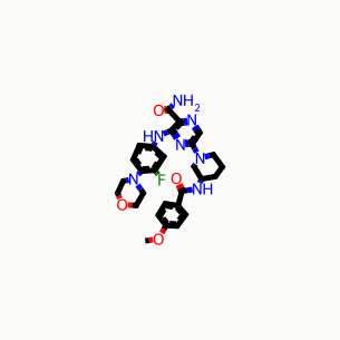 COc1ccc(C(=O)NC2CCCN(c3cnc(C(N)=O)c(Nc4ccc(N5CCOCC5)c(F)c4)n3)C2)cc1